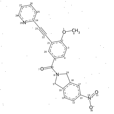 COc1ccc(C(=O)N2Cc3ccc([N+](=O)[O-])cc3C2)cc1C#Cc1ccccn1